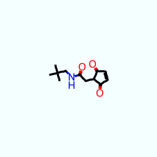 CC(C)(C)CNC(=O)CC1C(=O)C=CC1=O